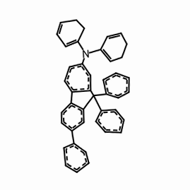 C1=CCCC(N(C2=CCCC=C2)c2ccc3c(c2)C(c2ccccc2)(c2ccccc2)c2cc(-c4ccccc4)ccc2-3)=C1